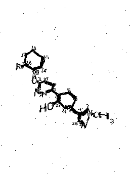 Cn1cc(-c2ccc(-c3ccc(O[C@H]4CCCC[C@@H]4F)nn3)c(O)c2)cn1